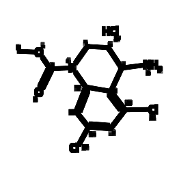 COC(=O)N1CCC(N)c2c(Cl)cc(Cl)cc21.Cl